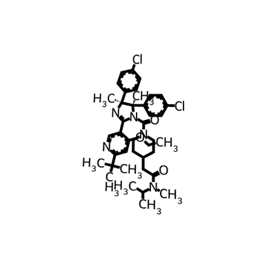 CCOc1cc(C(C)(C)C)ncc1C1=N[C@@](C)(c2ccc(Cl)cc2)[C@@](C)(c2ccc(Cl)cc2)N1C(=O)N1CCC(CC(=O)N(C)C(C)C)CC1